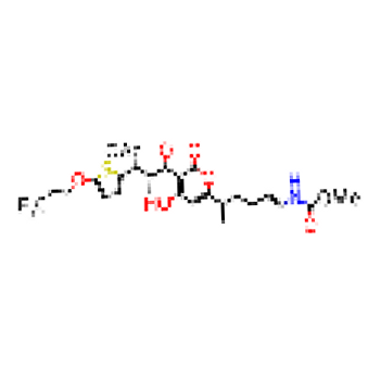 COC(=O)N/C=C/CCC(C)c1cc(O)c(C(=O)C(C)C(OC(C)=O)c2ccc(OCCC(F)(F)F)s2)c(=O)o1